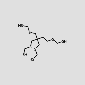 SCSCCC(CSCS)(CSCS)CSCS